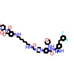 O=C(CN1CCN(c2ccc(C(=O)Nc3n[nH]c4ccc(Cc5cc(F)cc(F)c5)cc34)c(NC3CCOCC3)c2)CC1)NCCCCCCCCNc1ccc2c(c1)C(=O)N(C1CCC(=O)NC1=O)C2=O